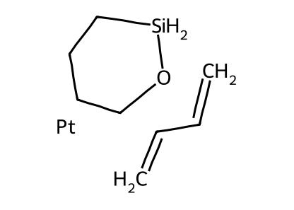 C1CC[SiH2]OC1.C=CC=C.[Pt]